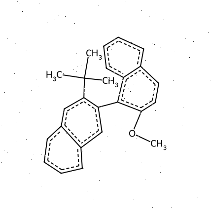 COc1ccc2ccccc2c1-c1cc2ccccc2cc1C(C)(C)C